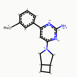 COc1cccc(-c2cc(N3CC4CCC4C3)nc(N)n2)c1